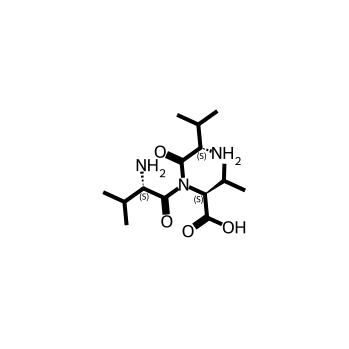 CC(C)[C@H](N)C(=O)N(C(=O)[C@@H](N)C(C)C)[C@H](C(=O)O)C(C)C